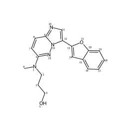 CN(CCCO)c1ccc2ncc(-c3cc4ccccc4o3)n2n1